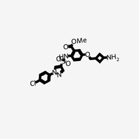 COC(=O)c1cc(OCC2CC(N)C2)ccc1NS(=O)(=O)c1cnn(-c2ccc(Cl)cc2)c1